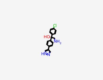 NC[C@](O)(c1ccc(Cl)cc1)c1ccc(-c2cn[nH]c2)cc1